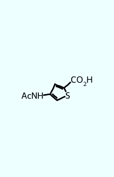 CC(=O)Nc1csc(C(=O)O)c1